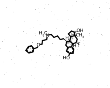 CN(CCCCC[C@@H]1Cc2cc(O)ccc2[C@@H]2[C@@H]1[C@@H]1CC[C@H](O)[C@@]1(C)C[C@@H]2F)CCCOCc1ccccc1